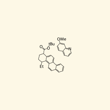 CCC1CCC(C(=O)OC(C)(C)C)c2ccc3c(ccc4ccccc43)c21.COc1ccc2cccnc2c1